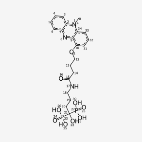 C[n+]1c2ccccc2nc2c(OCCCC(=O)NCCCC(O)(P(=O)(O)O)P(=O)(O)O)cccc21